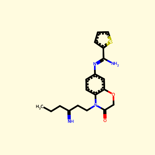 CCCC(=N)CCN1C(=O)COc2cc(N=C(N)c3cccs3)ccc21